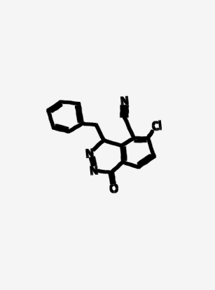 N#Cc1c(Cl)ccc2c1C(Cc1ccccc1)N=NC2=O